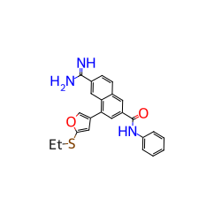 CCSc1cc(-c2cc(C(=O)Nc3ccccc3)cc3ccc(C(=N)N)cc23)co1